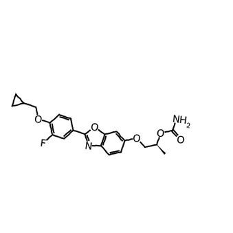 C[C@@H](COc1ccc2nc(-c3ccc(OCC4CC4)c(F)c3)oc2c1)OC(N)=O